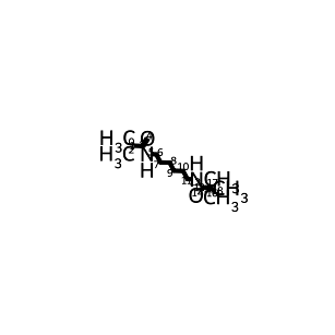 CC(C)C(=O)NCCCCCCNC(=O)C(C)(C)C